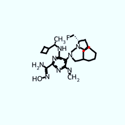 C=Nc1nc(/C(N)=N/O)nc(N[C@H](C)C2CCC2)c1N(CC1CCCCC1)CN1CCC[C@H]1CF